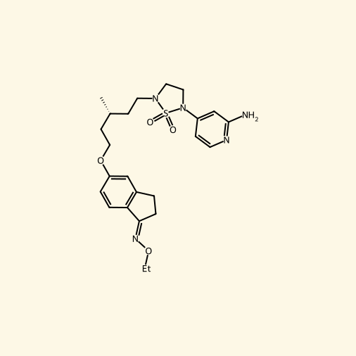 CCO/N=C1\CCc2cc(OCC[C@H](C)CCN3CCN(c4ccnc(N)c4)S3(=O)=O)ccc21